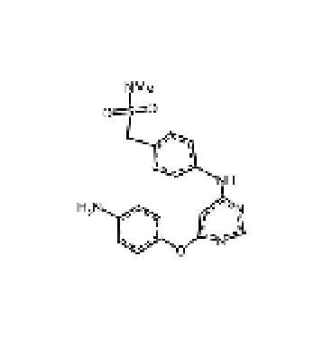 CNS(=O)(=O)Cc1ccc(Nc2cc(Oc3ccc(N)cc3)ncn2)cc1